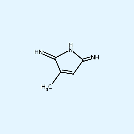 CC1=CC(=N)NC1=N